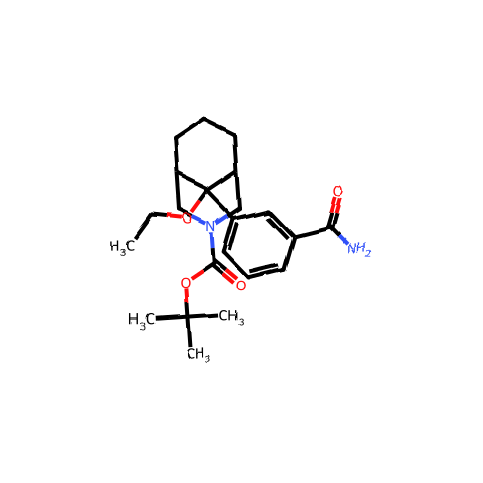 CCOC1(c2cccc(C(N)=O)c2)C2CCCC1CN(C(=O)OC(C)(C)C)C2